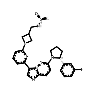 O=[SH](=O)NCC1CN(c2cccc(-c3cnc4ccc(N5CCC[C@@H]5c5cccc(F)c5)nn34)n2)C1